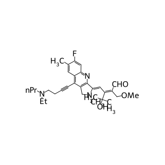 CCCN(CC)CCC#Cc1c2c(nc3cc(F)c(C)cc13)/C(=C/C(=C(\C=O)COC)C(C)(C)O)N(C)C2